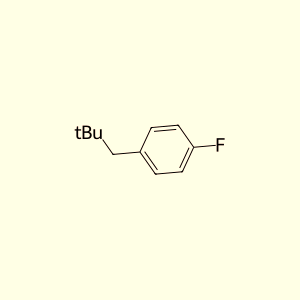 CC(C)(C)Cc1ccc(F)cc1